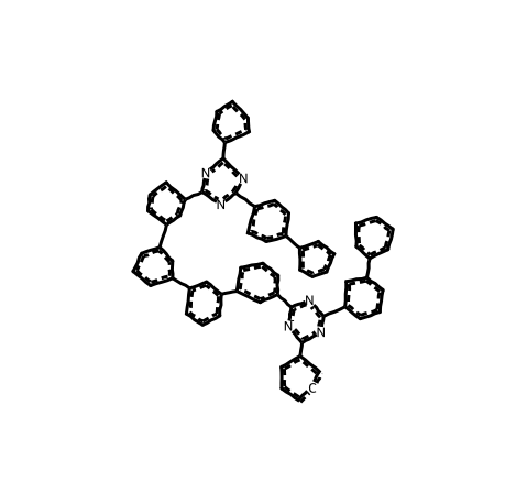 c1ccc(-c2ccc(-c3nc(-c4ccccc4)nc(-c4cccc(-c5cccc(-c6cccc(-c7cccc(-c8nc(-c9ccccc9)nc(-c9cccc(-c%10ccccc%10)c9)n8)c7)c6)c5)c4)n3)cc2)cc1